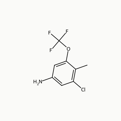 Cc1c(Cl)cc(N)cc1OC(F)(F)F